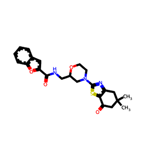 CC1(C)CC(=O)c2sc(N3CCOC(CNC(=O)c4cc5ccccc5o4)C3)nc2C1